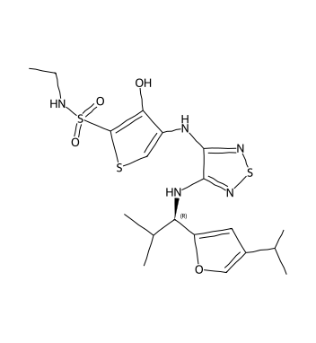 CCNS(=O)(=O)c1scc(Nc2nsnc2N[C@@H](c2cc(C(C)C)co2)C(C)C)c1O